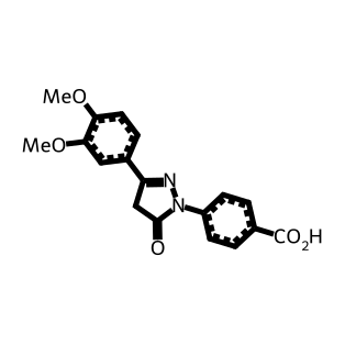 COc1ccc(C2=NN(c3ccc(C(=O)O)cc3)C(=O)C2)cc1OC